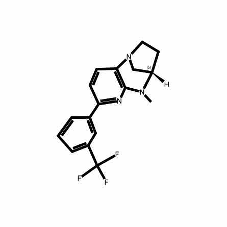 CN1c2nc(-c3cccc(C(F)(F)F)c3)ccc2N2CC[C@H]1C2